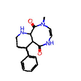 CN1C=CNC(=O)C2C(NCCC2c2ccccc2)C1=O